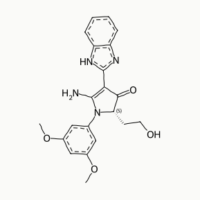 COc1cc(OC)cc(N2C(N)=C(c3nc4ccccc4[nH]3)C(=O)[C@@H]2CCO)c1